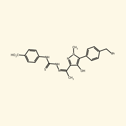 CC(=NNC(=S)Nc1ccc(C(=O)O)cc1)c1nn(C)c(-c2ccc(CC(C)C)cc2)c1O